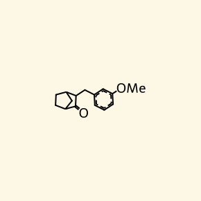 COc1cccc(CC2C(=O)C3CCC2C3)c1